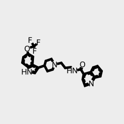 O=C(NCCCN1CCC(c2c[nH]c3ccc(OC(F)(F)F)cc23)CC1)c1ccnc2ccccc12